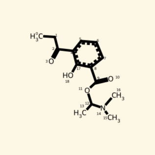 CCC(=O)c1cccc(C(=O)OC(C)N(C)C)c1O